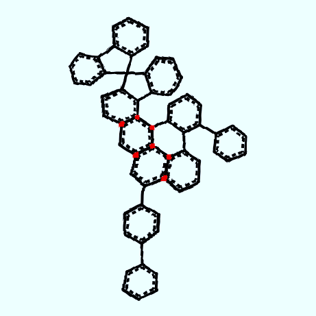 c1ccc(-c2ccc(-c3ccc(N(c4cccc(-c5ccccc5)c4-c4ccccc4-c4ccccc4)c4cccc5c4-c4ccccc4C54c5ccccc5-c5ccccc54)cc3)cc2)cc1